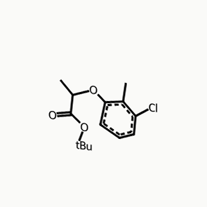 Cc1c(Cl)cccc1OC(C)C(=O)OC(C)(C)C